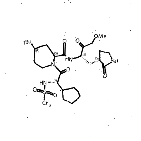 COCC(=O)[C@H](C[C@@H]1CCNC1=O)NC(=O)[C@@H]1C[C@H](C(C)(C)C)CCN1C(=O)[C@@H](NS(=O)(=O)C(F)(F)F)C1CCCC1